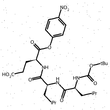 CC(C)C[C@H](NC(=O)OC(C)(C)C)C(=O)N[C@@H](CC(C)C)C(=O)N[C@@H](CCC(=O)O)C(=O)Oc1ccc([N+](=O)[O-])cc1